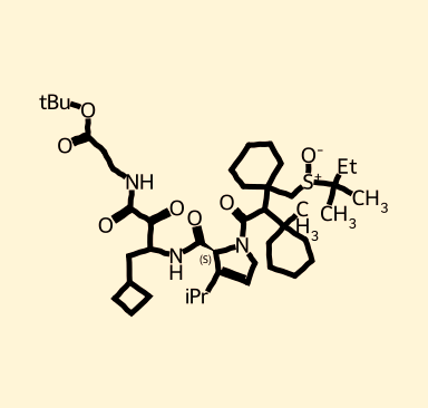 CCC(C)(C)[S+]([O-])CC1(C(C(=O)N2CC=C(C(C)C)[C@H]2C(=O)NC(CC2CCC2)C(=O)C(=O)NCCC(=O)OC(C)(C)C)C2(C)CCCCC2)CCCCC1